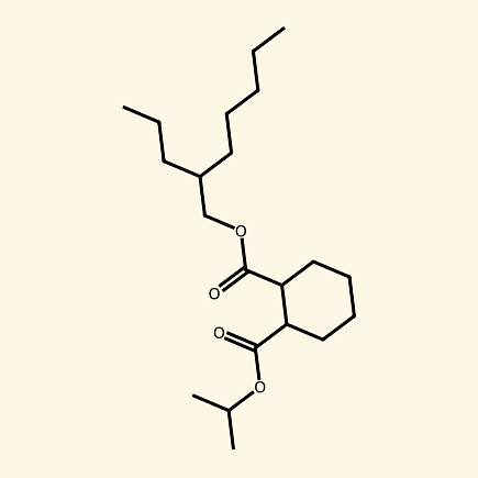 CCCCCC(CCC)COC(=O)C1CCCCC1C(=O)OC(C)C